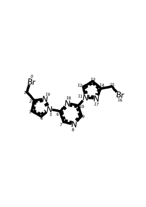 BrCc1ccn(-c2cncc(-n3ccc(CBr)n3)n2)n1